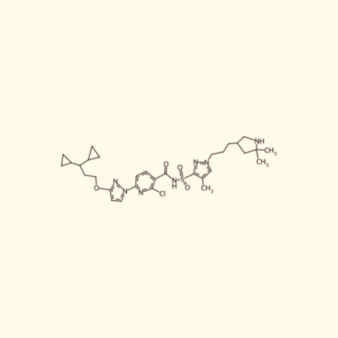 Cc1cn(CCCC2CNC(C)(C)C2)nc1S(=O)(=O)NC(=O)c1ccc(-n2ccc(OCCC(C3CC3)C3CC3)n2)nc1Cl